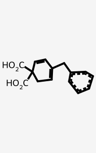 O=C(O)C1(C(=O)O)C=CC(Cc2ccccc2)=CC1